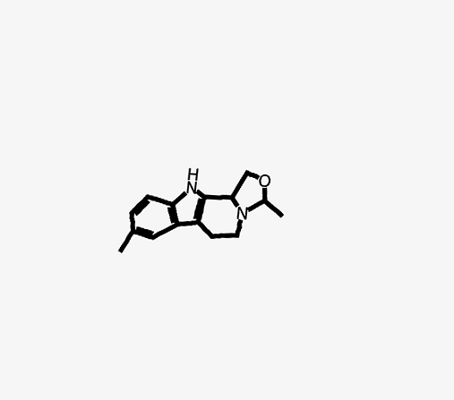 Cc1ccc2[nH]c3c(c2c1)CCN1C(C)OCC31